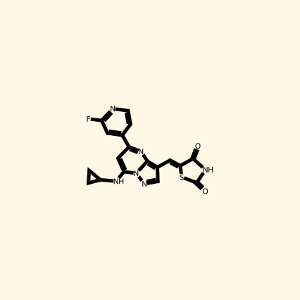 O=C1NC(=O)C(=Cc2cnn3c(NC4CC4)cc(-c4ccnc(F)c4)nc23)S1